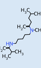 C=C(NCCCCCN(C)C(=C)CCC(C)C)C(C)C